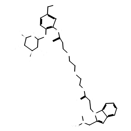 CNN(C)Cc1cc2ccccc2n1CCC(=O)NCCOCCOCCC(=O)Nc1cc(CO)ccc1OC1O[C@H](C(=O)O)[C@@H](O)[C@H](O)[C@H]1O